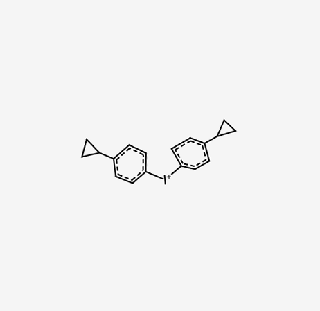 c1cc(C2CC2)ccc1[I+]c1ccc(C2CC2)cc1